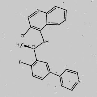 C[C@@H](Nc1c(Cl)cnc2ccccc12)c1cc(-c2ccncc2)ccc1F